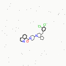 O=C(c1cccc2cccnc12)N1CCC(N2CCC(Cc3ccc(Cl)c(Cl)c3)C3(CCCC3)C2)CC1